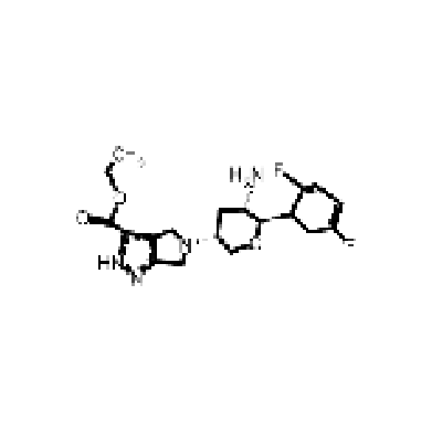 CCOC(=O)c1[nH]nc2c1CN([C@H]1CO[C@H](C3CC(F)=CC=C3F)[C@@H](N)C1)C2